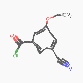 COc1cc(C#N)cc(C(=O)Cl)c1